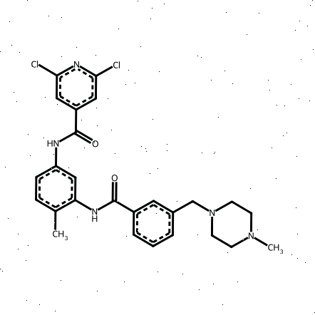 Cc1ccc(NC(=O)c2cc(Cl)nc(Cl)c2)cc1NC(=O)c1cccc(CN2CCN(C)CC2)c1